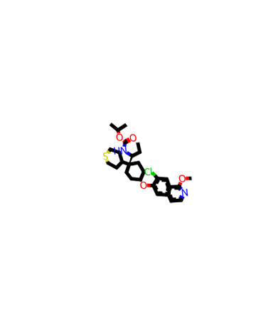 CCC(NC(=O)OC(C)C)[C@]1(C2CCSCC2)CC[C@H](Oc2cc3ccnc(OC)c3cc2Cl)CC1